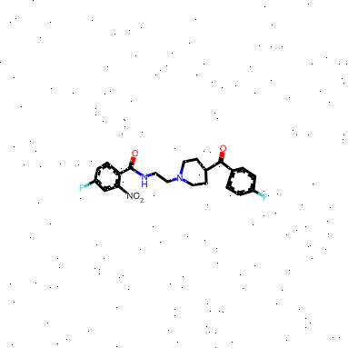 O=C(NCCN1CCC(C(=O)c2ccc(F)cc2)CC1)c1ccc(F)cc1[N+](=O)[O-]